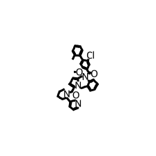 COc1cc(-c2ccccc2C)c(Cl)cc1C(=O)N1Cc2ccc(C(=O)N3CCCCC3c3cccnc3)n2Cc2ccccc21